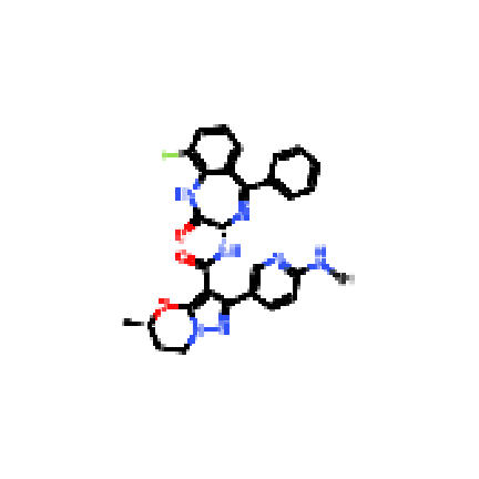 CC(C)Nc1ccc(-c2nn3c(c2C(=O)N[C@H]2N=C(c4ccccc4)c4cccc(F)c4NC2=O)O[C@H](C)CC3)cn1